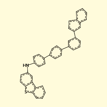 c1cc(-c2ccc(-c3ccc(Nc4ccc5sc6ccccc6c5c4)cc3)cc2)cc(-c2ccc3ccccc3c2)c1